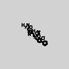 CC(C)(C)OC(=O)N(CCc1ncc(CC(N)=O)[nH]1)Cc1ccc(-c2ccccc2)c(Cl)c1